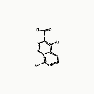 O=C(Cl)c1nnc2c(Br)cccc2c1Cl